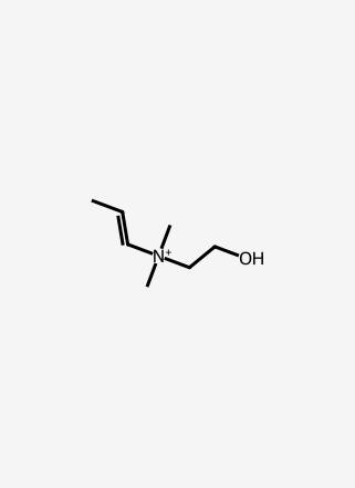 C/C=C/[N+](C)(C)CCO